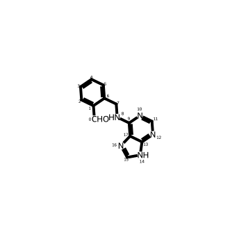 O=Cc1ccccc1CNc1ncnc2[nH]cnc12